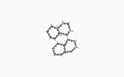 c1ccc2cnncc2c1.c1ccc2ncncc2c1